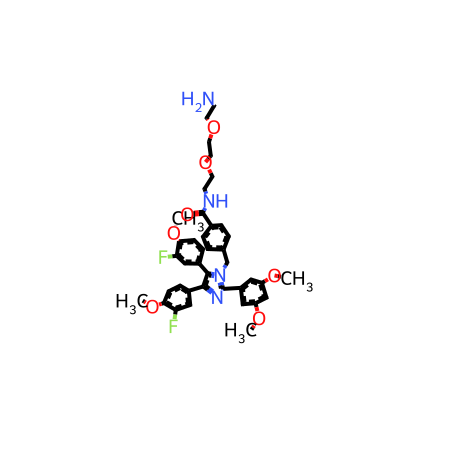 COc1cc(OC)cc(-c2nc(-c3ccc(OC)c(F)c3)c(-c3ccc(OC)c(F)c3)n2Cc2ccc(C(=O)NCCOCCOCCN)cc2)c1